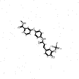 CNC(=O)c1cc(Oc2ccc(NC(=O)C=Cc3ccc(Cl)c(OC(F)(F)F)c3)cc2)ccn1